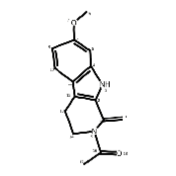 C=C1c2[nH]c3cc(OC)ccc3c2CCN1C(C)=O